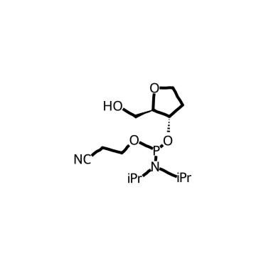 CC(C)N(C(C)C)P(OCCC#N)O[C@H]1CCO[C@@H]1CO